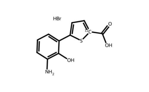 Br.Nc1cccc(-c2cc[12c](C(=O)O)s2)c1O